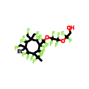 CCC1(CF)C(F)(F)C(CF)(CF)C(F)(F)C(F)(C(F)(F)OC(F)(F)C(F)(F)OC(F)(F)CO)C(F)(F)C(F)(C(C)(F)F)C1(F)F